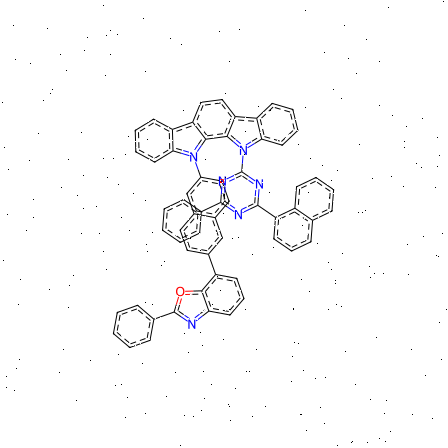 c1ccc(-c2nc(-c3cccc4ccccc34)nc(-n3c4ccccc4c4ccc5c6ccccc6n(-c6ccc7cc(-c8cccc9nc(-c%10ccccc%10)oc89)ccc7c6)c5c43)n2)cc1